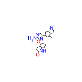 Cc1cc(-c2cnc(N)c(Oc3cccc4c3CCC(=O)N4)n2)cc2c1CCN(C)C2